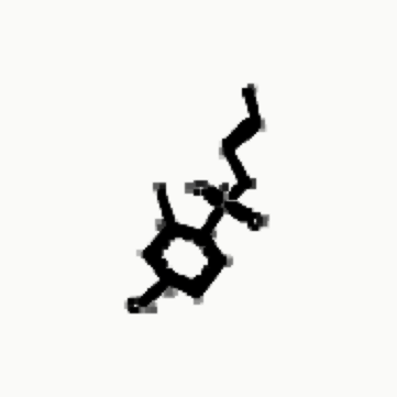 C/C=C/CS(=O)(=O)c1ccc(Cl)cc1C